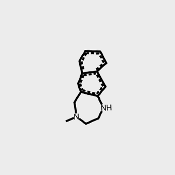 CN1CCNc2cc3ccccc3cc2C1